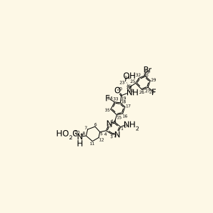 Nc1ncc(C2CCC(NC(=O)O)CC2)nc1-c1ccc(C(=O)N[C@H](CO)c2cc(F)cc(Br)c2)c(F)c1